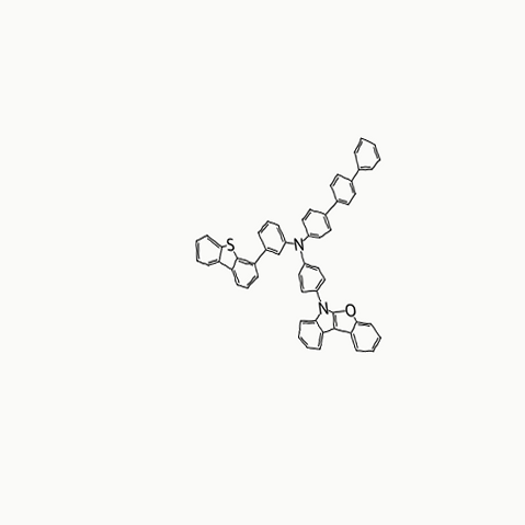 c1ccc(-c2ccc(-c3ccc(N(c4ccc(-n5c6ccccc6c6c7ccccc7oc65)cc4)c4cccc(-c5cccc6c5sc5ccccc56)c4)cc3)cc2)cc1